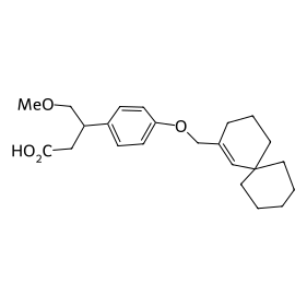 COCC(CC(=O)O)c1ccc(OCC2=CC3(CCCCC3)CCC2)cc1